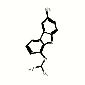 CC(C)Oc1cccc2c1sc1ccc(N)cc12